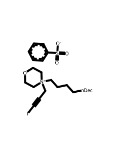 CCCCCCCCCCCCCC[N+]1(CC#CI)CCOCC1.O=S(=O)([O-])c1ccccc1